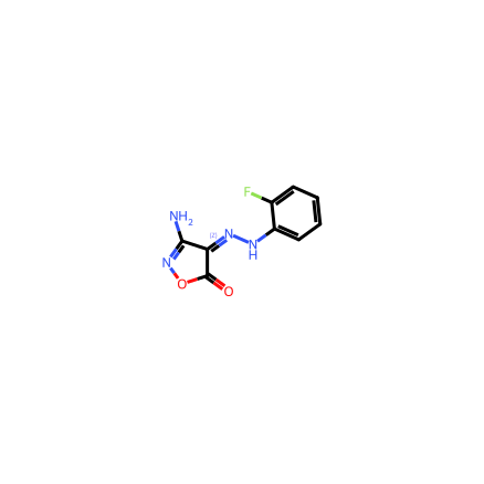 NC1=NOC(=O)/C1=N\Nc1ccccc1F